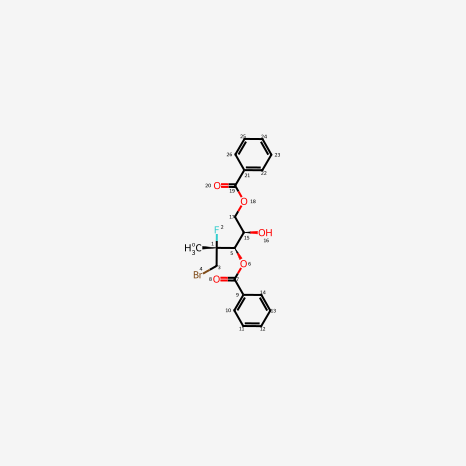 C[C@](F)(CBr)[C@H](OC(=O)c1ccccc1)[C@H](O)COC(=O)c1ccccc1